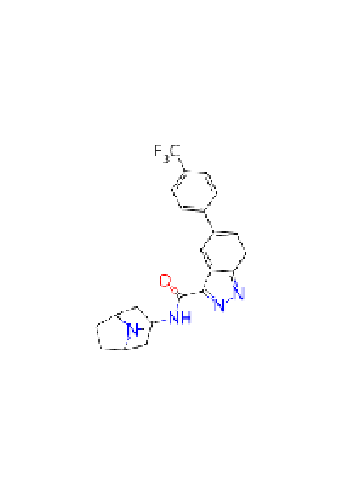 CN1C2CCC1CC(NC(=O)C1=NN=C3CC=C(c4ccc(C(F)(F)F)cc4)C=C31)C2